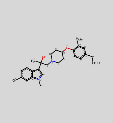 [C-]#[N+]c1ccc2c(C(O)(CN3CCC(Oc4ccc(CC(=O)OCC)cc4OC)CC3)C(F)(F)F)cn(C)c2c1